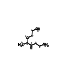 CC(NCCN)OCCO